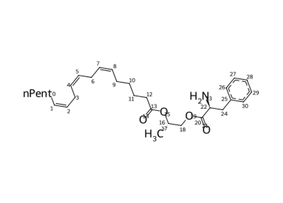 CCCCC/C=C\C/C=C\C/C=C\CCCCC(=O)O[C@@H](C)COC(=O)[C@@H](N)Cc1ccccc1